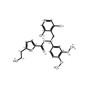 COc1ccc([C@H](Cc2c(Cl)cncc2Cl)OC(=O)c2ccc(CCO)s2)cc1OC